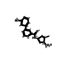 C[C@@H]1C[C@@H](NC(=O)c2cc(-c3cccc(C#N)c3)ccn2)CN1C(=O)O